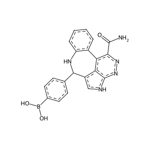 NC(=O)c1nnc2[nH]cc3c2c1-c1ccccc1NC3c1ccc(B(O)O)cc1